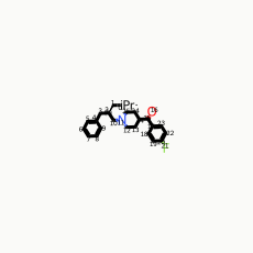 C[C](C)C[C@H](Cc1ccccc1)CN1CCC(C(=O)c2ccc(F)cc2)CC1